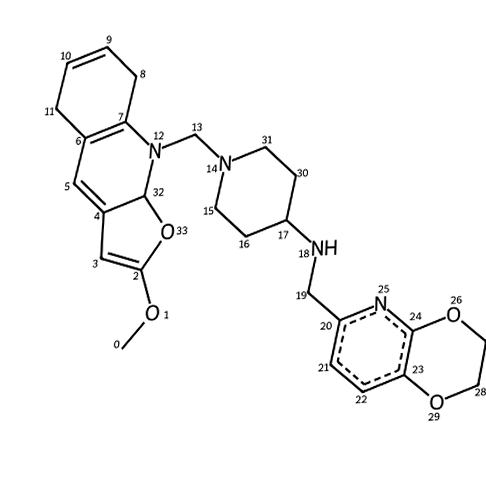 COC1=CC2=CC3=C(CC=CC3)N(CN3CCC(NCc4ccc5c(n4)OCCO5)CC3)C2O1